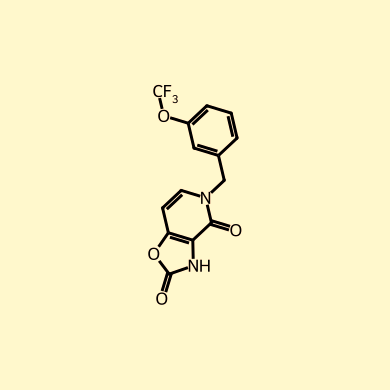 O=c1[nH]c2c(=O)n(Cc3cccc(OC(F)(F)F)c3)ccc2o1